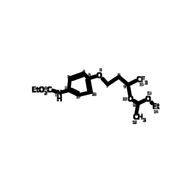 CCOC(=O)Nc1ccc(OCCC(OC(C)OCC)C(F)(F)F)cc1